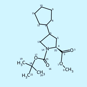 COC(=O)[C@@H]1CC(C2CCCCC2)CN1C(=O)OC(C)(C)C